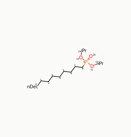 CCCCCCCCCCCCCCCCCCP(=O)(OC(C)C)OC(C)C